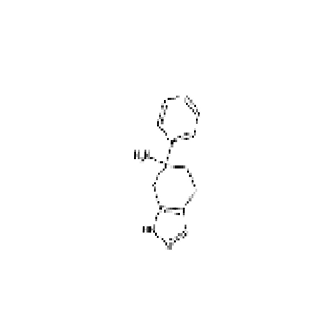 NC1(c2ccccc2)CCc2cn[nH]c2C1